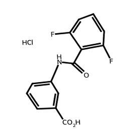 Cl.O=C(O)c1cccc(NC(=O)c2c(F)cccc2F)c1